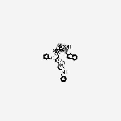 O=c1nc(NCc2ccccc2)ccn1[C@H]1C[C@@H](OCc2ccccc2)[C@@H](COP(=O)(O)OP(=O)(O)OP(=O)(O)OCc2ccc3ccccc3c2)O1